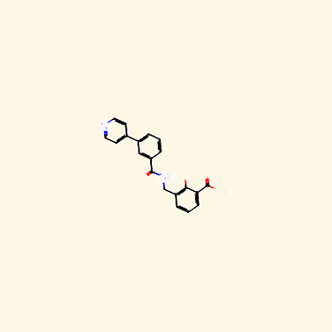 O=C(NCc1cccc(C(=O)O)c1O)c1cccc(-c2ccncc2)c1